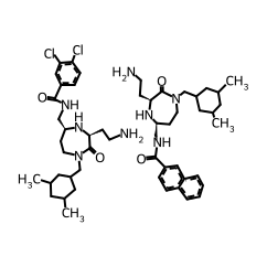 CC1CC(C)CC(CN2CC[C@@H](CNC(=O)c3ccc(Cl)c(Cl)c3)N[C@@H](CCN)C2=O)C1.CC1CC(C)CC(CN2CC[C@@H](CNC(=O)c3ccc4ccccc4c3)N[C@@H](CCN)C2=O)C1